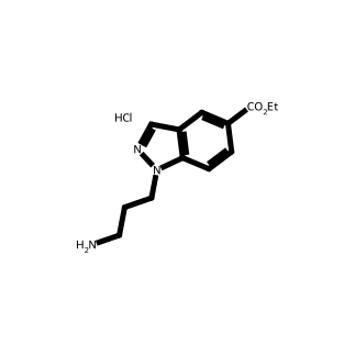 CCOC(=O)c1ccc2c(cnn2CCCN)c1.Cl